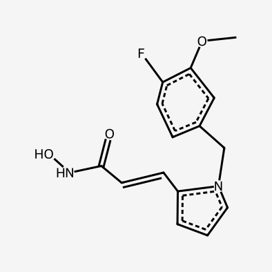 COc1cc(Cn2cccc2/C=C/C(=O)NO)ccc1F